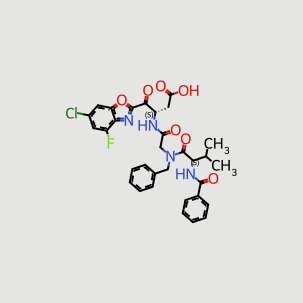 CC(C)[C@H](NC(=O)c1ccccc1)C(=O)N(CC(=O)N[C@@H](CC(=O)O)C(=O)c1nc2c(F)cc(Cl)cc2o1)Cc1ccccc1